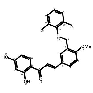 COc1ccc(/C=C/C(=O)c2ccc(O)cc2O)cc1COc1c(C)cccc1C